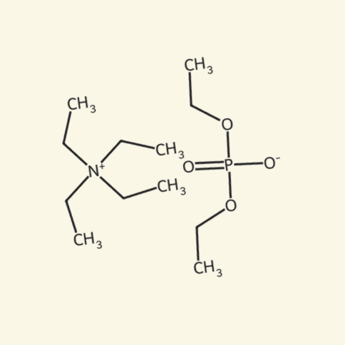 CCOP(=O)([O-])OCC.CC[N+](CC)(CC)CC